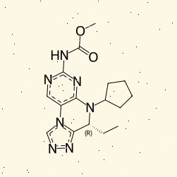 CC[C@@H]1c2nncn2-c2cnc(NC(=O)OC)nc2N1C1CCCC1